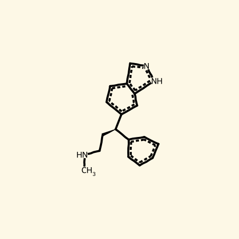 CNCC[C@H](c1ccccc1)c1ccc2cn[nH]c2c1